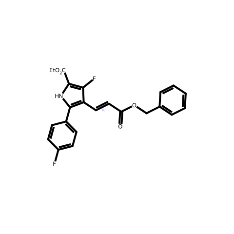 CCOC(=O)c1[nH]c(-c2ccc(F)cc2)c(/C=C/C(=O)OCc2ccccc2)c1F